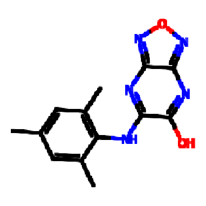 Cc1cc(C)c(Nc2nc3nonc3nc2O)c(C)c1